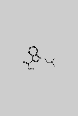 COC(=O)c1cn(CCN(C)C)c2ccccc12